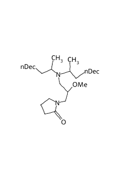 CCCCCCCCCCCC(C)N(CC(CN1CCCC1=O)OC)C(C)CCCCCCCCCCC